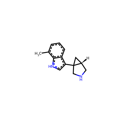 Cc1cccc2c(C34CNC[C@H]3C4)c[nH]c12